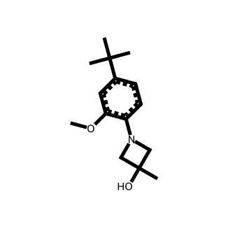 COc1cc(C(C)(C)C)ccc1N1CC(C)(O)C1